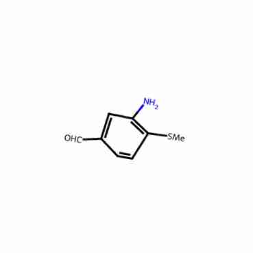 CSc1ccc(C=O)cc1N